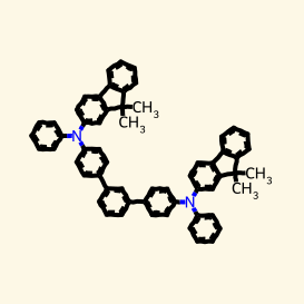 CC1(C)c2ccccc2-c2ccc(N(c3ccccc3)c3ccc(-c4cccc(-c5ccc(N(c6ccccc6)c6ccc7c(c6)C(C)(C)c6ccccc6-7)cc5)c4)cc3)cc21